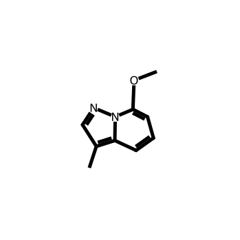 COc1cccc2c(C)cnn12